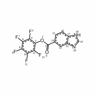 O=C(Oc1c(F)c(F)c(F)c(F)c1F)c1ccc2[nH]cnc2c1